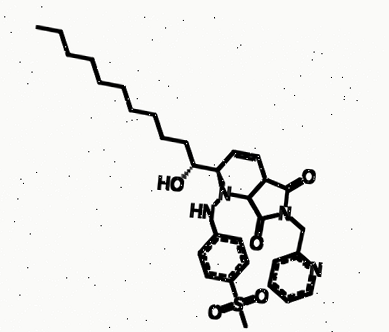 CCCCCCCCCC[C@@H](O)[C@H]1C=CC2C(=O)N(Cc3ccccn3)C(=O)C2N1Nc1ccc(S(C)(=O)=O)cc1